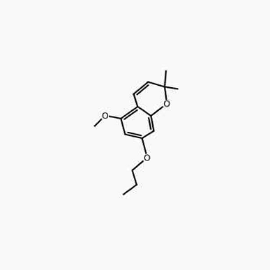 CCCOc1cc(OC)c2c(c1)OC(C)(C)C=C2